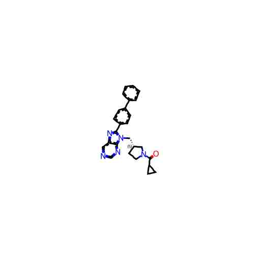 O=C(C1CC1)N1CC[C@H](Cn2c(-c3ccc(-c4ccccc4)cc3)nc3cncnc32)C1